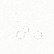 Fc1ccc(-c2cn(C3CCNCC3)c3cc(Cl)ccc23)cc1